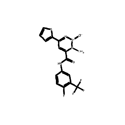 CN1C(C(=O)Nc2ccc(F)c(C(F)(F)F)c2)=CC(c2cccs2)=N[S+]1[O-]